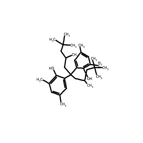 Cc1cc(C)c(O)c(C(CC(C)CC(C)(C)C)(CC(C)CC(C)(C)C)c2cc(C)cc(C)c2O)c1